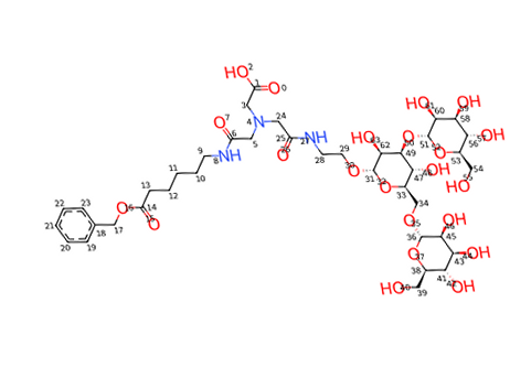 O=C(O)CN(CC(=O)NCCCCCC(=O)OCc1ccccc1)CC(=O)NCCO[C@H]1O[C@H](CO[C@H]2O[C@H](CO)[C@@H](O)[C@H](O)[C@@H]2O)[C@@H](O)[C@H](O[C@H]2O[C@H](CO)[C@@H](O)[C@H](O)[C@@H]2O)[C@@H]1O